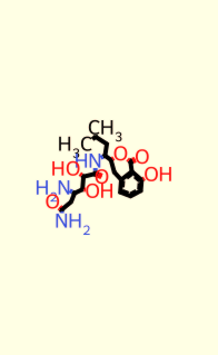 CC(C)CC(NC(=O)C(O)C(O)C(N)CC(N)=O)C1Cc2cccc(O)c2C(=O)O1